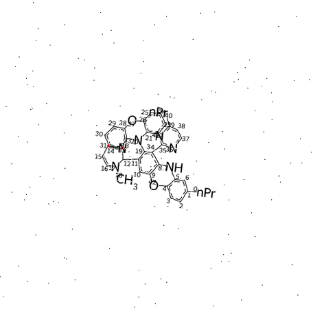 CCCc1ccc2c(c1)Nc1c(cc(C3N=CC=CN3C)c(N3c4ccccc4Oc4ccccc43)c1-c1nccc(CCC)n1)O2